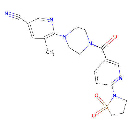 Cc1cc(C#N)cnc1N1CCN(C(=O)c2ccc(N3CCCS3(=O)=O)nc2)CC1